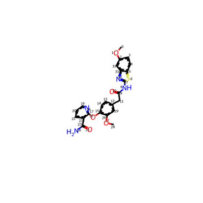 COc1ccc2sc(NC(=O)Cc3ccc(Oc4ncccc4C(N)=O)c(OC)c3)nc2c1